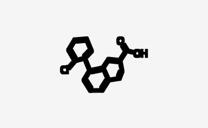 O=C(O)c1ccc2cccc(-c3ccccc3Cl)c2c1